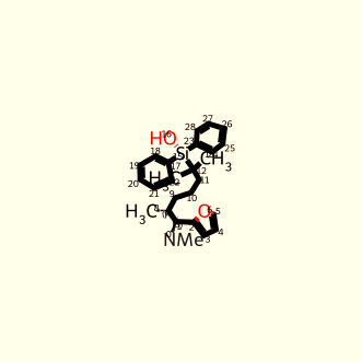 CN[C@H](c1ccco1)[C@H](C)CCCC(C)(C)[Si](O)(c1ccccc1)c1ccccc1